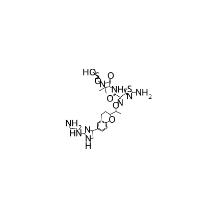 CC(O/N=C(\C(=O)NC1C(=O)N(OSO)C1(C)C)c1csc(N)n1)C1CCc2cc(C3CNC(NCCN)=N3)ccc2O1